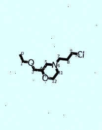 CCOCC1CN(CCCCl)CCO1